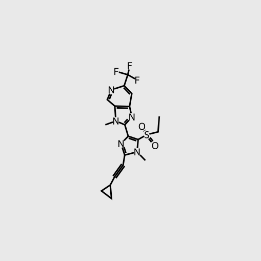 CCS(=O)(=O)c1c(-c2nc3cc(C(F)(F)F)ncc3n2C)nc(C#CC2CC2)n1C